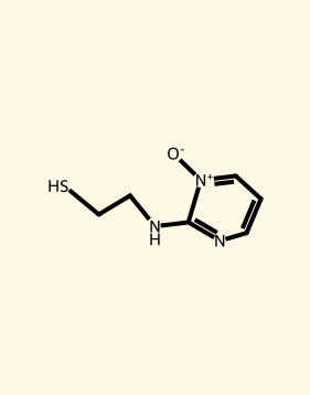 [O-][n+]1cccnc1NCCS